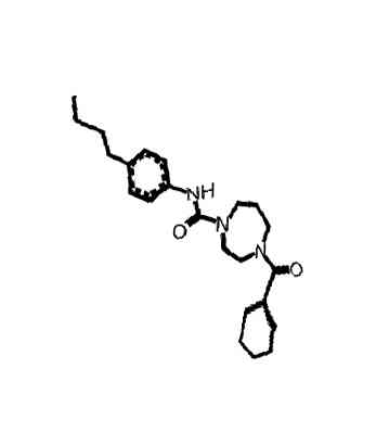 CCCCc1ccc(NC(=O)N2CCCN(C(=O)C3CCCCC3)CC2)cc1